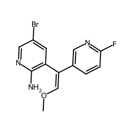 COC=C(c1ccc(F)nc1)c1cc(Br)cnc1N